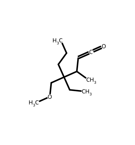 CCCC(CC)(COC)C(C)C=C=O